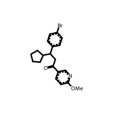 COc1ccc(C(=O)CC(c2ccc(Br)cc2)C2CCCC2)cn1